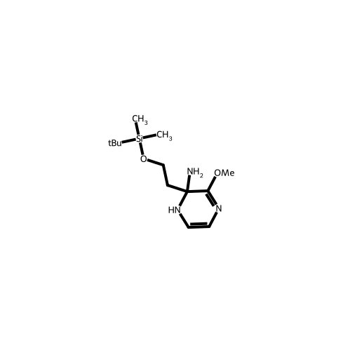 COC1=NC=CNC1(N)CCO[Si](C)(C)C(C)(C)C